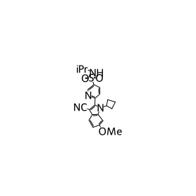 COc1ccc2c(C#N)c(-c3ccc(S(=O)(=O)NC(C)C)cn3)n(C3CCC3)c2c1